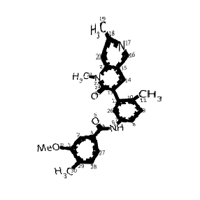 COc1cc(C(=O)Nc2ccc(C)c(-c3cc4cnc(C)cc4n(C)c3=O)c2)ccc1C